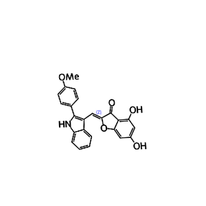 COc1ccc(-c2[nH]c3ccccc3c2/C=C2\Oc3cc(O)cc(O)c3C2=O)cc1